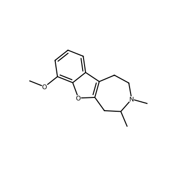 COc1cccc2c3c(oc12)CC(C)N(C)CC3